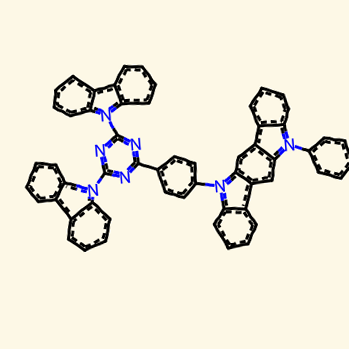 c1ccc(-n2c3ccccc3c3cc4c(cc32)c2ccccc2n4-c2ccc(-c3nc(-n4c5ccccc5c5ccccc54)nc(-n4c5ccccc5c5ccccc54)n3)cc2)cc1